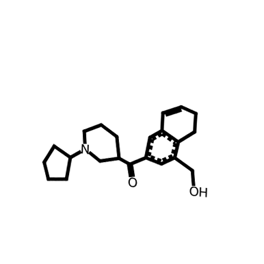 O=C(c1cc2c(c(CO)c1)CCC=C2)C1CCCN(C2CCCC2)C1